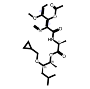 C=N/C(C(=O)N[C@@H](C)C(=O)O[C@@H](C)[C@@H](CC(C)C)OCC1CC1)=C(OC(C)=O)\C(=C/C)OC